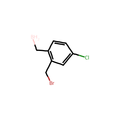 BCc1ccc(Cl)cc1CBr